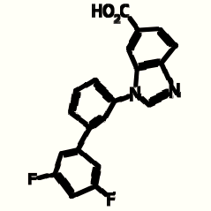 O=C(O)c1ccc2ncn(-c3cccc(-c4cc(F)cc(F)c4)c3)c2c1